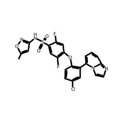 Cc1cc(NS(=O)(=O)c2cc(F)c(Oc3ccc(Cl)cc3-c3cccc4nccn34)cc2F)no1